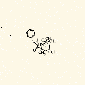 C[C@@H]1CC(C)(C(=O)OCc2ccccc2)N[SH](C)(C)(C)C1